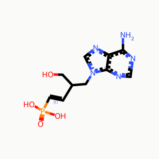 Nc1ncnc2c1ncn2CC(/C=C/P(=O)(O)O)CO